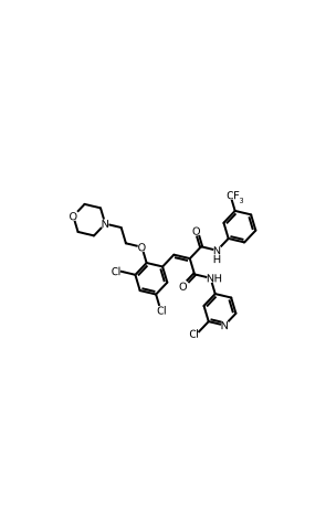 O=C(Nc1cccc(C(F)(F)F)c1)C(=Cc1cc(Cl)cc(Cl)c1OCCN1CCOCC1)C(=O)Nc1ccnc(Cl)c1